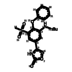 CCCCNc1cc(-c2noc(=O)[nH]2)cc(S(C)(=O)=O)c1Oc1ccccc1